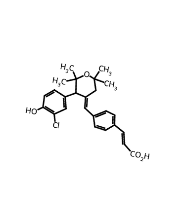 CC1(C)CC(=Cc2ccc(/C=C/C(=O)O)cc2)C(c2ccc(O)c(Cl)c2)C(C)(C)O1